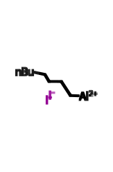 CCCCCCC[CH2][Al+2].[I-].[I-]